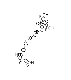 O=C(NCCOCCOCCN1CCN(c2ccc(-c3cc4c(-c5cnc(C6(O)CCC6)s5)c(Cl)cnc4[nH]3)cc2)CC1)c1ccc2c(c1)C(=O)OC21c2cc(F)c(O)cc2Oc2cc(O)c(F)cc21